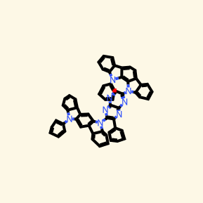 c1ccc(-c2nc3nc(-n4c5ccccc5c5ccc6c7ccccc7n(-c7ccccc7)c6c54)cnc3nc2-n2c3ccccc3c3cc4c(cc32)c2ccccc2n4-c2ccccc2)cc1